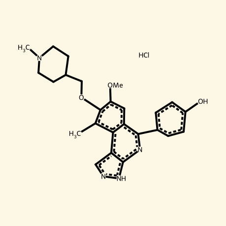 COc1cc2c(-c3ccc(O)cc3)nc3[nH]ncc3c2c(C)c1OCC1CCN(C)CC1.Cl